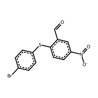 O=Cc1cc([N+](=O)[O-])ccc1Sc1ccc(Br)cc1